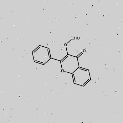 O=[C]Oc1c(-c2ccccc2)oc2ccccc2c1=O